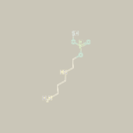 NCCCNCCO[PH](=O)OS